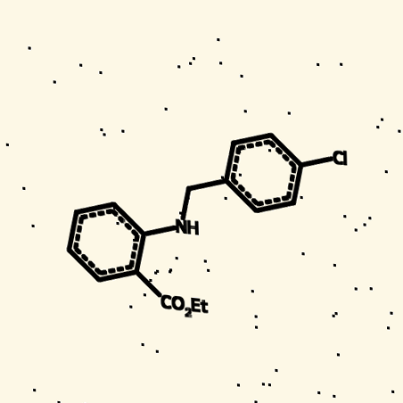 CCOC(=O)c1ccccc1NCc1ccc(Cl)cc1